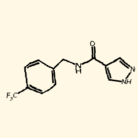 O=C(NCc1ccc(C(F)(F)F)cc1)c1cn[nH]c1